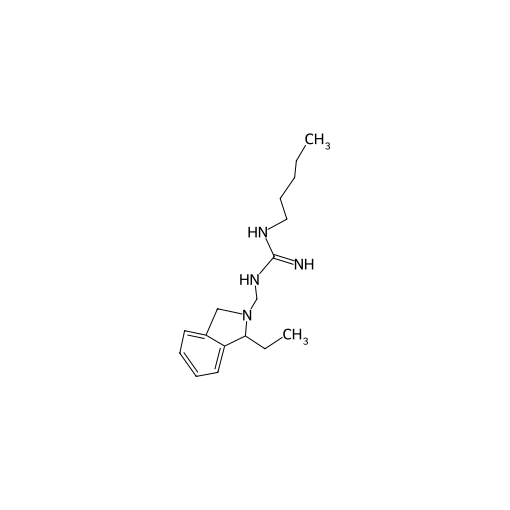 CCCCCNC(=N)NCN1Cc2ccccc2C1CC